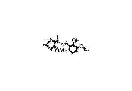 CCOc1cccc(/C=N/Nc2nccnc2OC)c1O